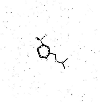 CC(C)OCc1cccc([N+](=O)[O-])c1